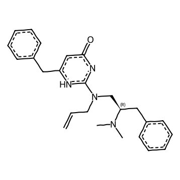 C=CCN(C[C@@H](Cc1ccccc1)N(C)C)c1nc(=O)cc(Cc2ccccc2)[nH]1